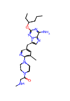 CCCC(CC)Oc1nc(N)c2ncc(Cc3cnc(N4CCN(C(=O)CNC)CC4)c(C)c3)n2n1